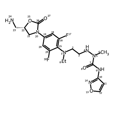 CCN(CCNN(C)C(=O)Nc1ccon1)c1c(F)cc(N2C[C@H](CN)OC2=O)cc1F